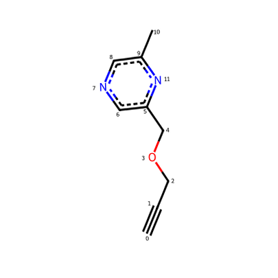 C#CCOCc1cncc(C)n1